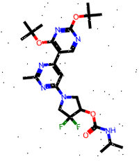 Cc1nc(-c2cnc(OC(C)(C)C)nc2OC(C)(C)C)cc(N2CC(OC(=O)NC(C)C)C(F)(F)C2)n1